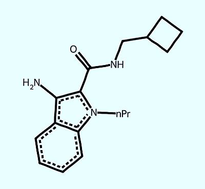 CCCn1c(C(=O)NCC2CCC2)c(N)c2ccccc21